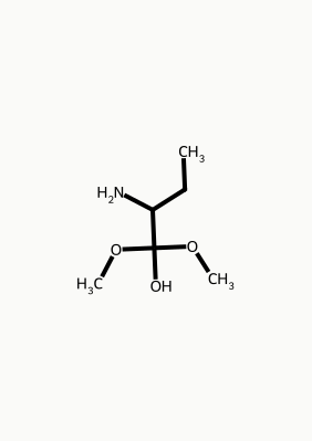 CCC(N)C(O)(OC)OC